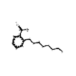 CCCCCCCCc1ccccc1C(=O)Br